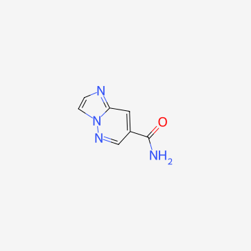 NC(=O)c1cnn2ccnc2c1